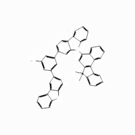 CC1(C)c2ccccc2-c2c1cc(-n1c3ccccc3c3ccc(-c4cc(Br)cc(-c5ccc6sc7ccccc7c6c5)c4)cc31)c1ccccc21